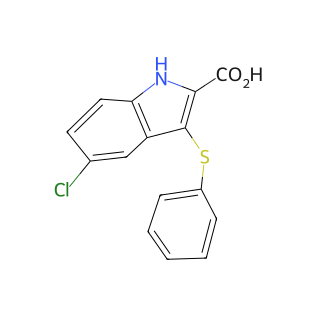 O=C(O)c1[nH]c2ccc(Cl)cc2c1Sc1ccccc1